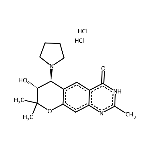 Cc1nc2cc3c(cc2c(=O)[nH]1)[C@H](N1CCCC1)[C@@H](O)C(C)(C)O3.Cl.Cl